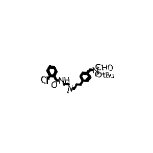 CN(CCCc1ccc(CN(C=O)OC(C)(C)C)cc1)CCNC(=O)c1ccccc1Cl